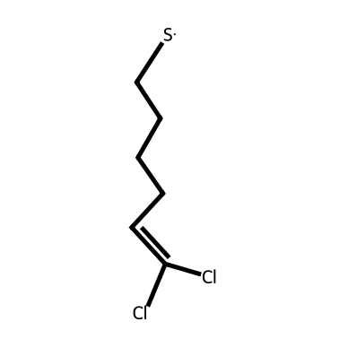 [S]CCCCC=C(Cl)Cl